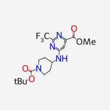 COC(=O)c1cc(NC2CCN(C(=O)OC(C)(C)C)CC2)nc(C(F)(F)F)n1